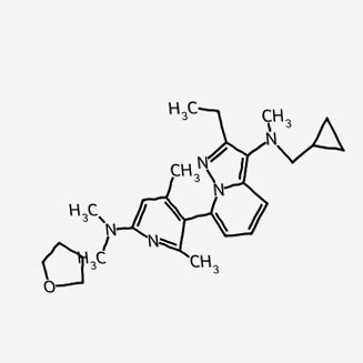 C1CCOC1.CCc1nn2c(-c3c(C)cc(N(C)C)nc3C)cccc2c1N(C)CC1CC1